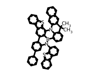 CC1(C)c2cc3ccccc3cc2N2c3c(cccc31)B1c3c(cc4c(sc5ccccc54)c32)-c2ccc(-c3ccccc3)cc2N1c1cccc2c1sc1ccccc12